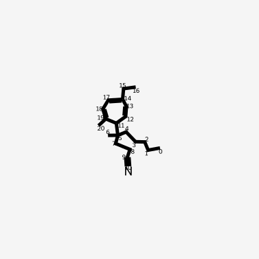 CCCCCC(C)(CCC#N)C1C=CC(CC)=CC=C1C